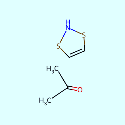 C1=CSNS1.CC(C)=O